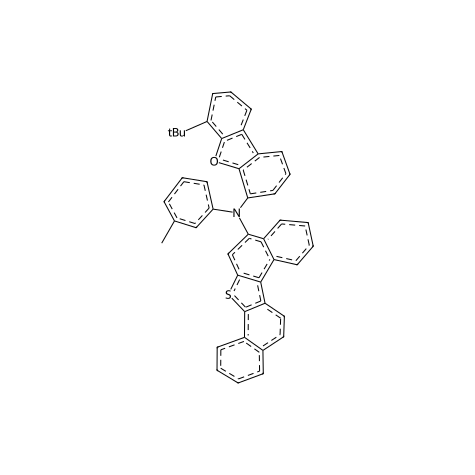 Cc1cccc(N(c2cc3sc4c5ccccc5ccc4c3c3ccccc23)c2cccc3c2oc2c(C(C)(C)C)cccc23)c1